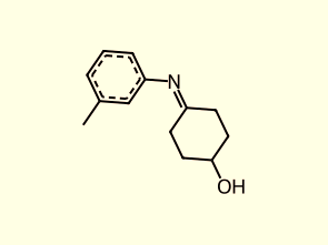 Cc1cccc(N=C2CCC(O)CC2)c1